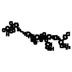 CC1(C)CCC(CN2CCN(c3ccc(C(=O)NS(=O)(=O)c4ccc(NCC5CCN(CCCCSc6cccc7c6C(=O)N(C6CCC(=O)NC6=O)C7=O)CC5)c([N+](=O)[O-])c4)c(Oc4cnc5[nH]ccc5c4)c3)CC2)=C(c2ccc(Cl)cc2)C1